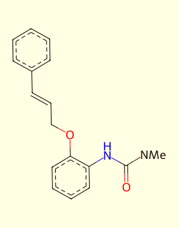 CNC(=O)Nc1ccccc1OCC=Cc1ccccc1